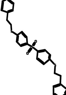 O=S(=O)(c1ccc(SCCc2ccccc2)cc1)c1ccc(SCCc2ccccc2)cc1